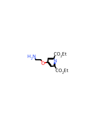 CCOC(=O)c1cc(OCCN)cc(C(=O)OCC)n1